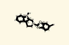 Cc1ccc2nc(N3CCc4c(n(C)c5ccccc45)C3)oc2c1